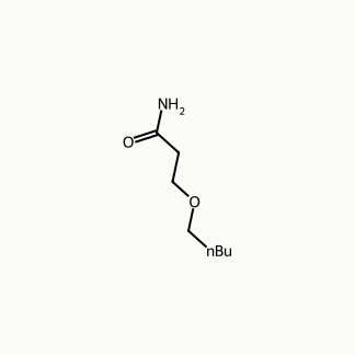 CCCCCOCCC(N)=O